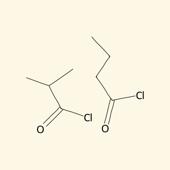 CC(C)C(=O)Cl.CCCC(=O)Cl